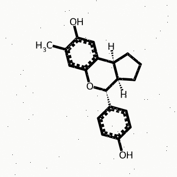 Cc1cc2c(cc1O)[C@H]1CCC[C@H]1[C@H](c1ccc(O)cc1)O2